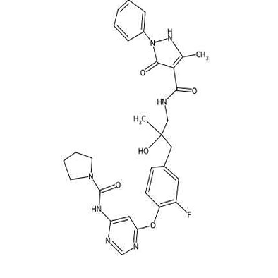 Cc1[nH]n(-c2ccccc2)c(=O)c1C(=O)NCC(C)(O)Cc1ccc(Oc2cc(NC(=O)N3CCCC3)ncn2)c(F)c1